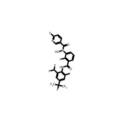 O=C(Nc1c(I)cc(C(F)(C(F)(F)F)C(F)(F)F)cc1C(F)F)c1cccc(N(O)C(=O)c2ccc(F)nc2)c1F